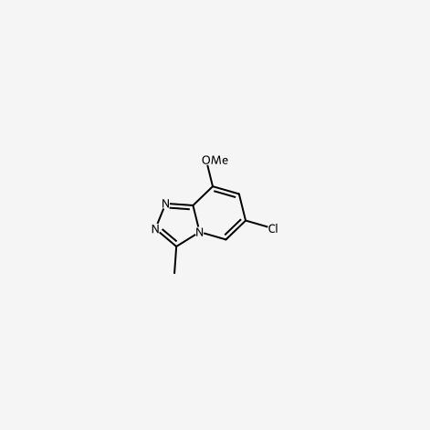 COc1cc(Cl)cn2c(C)nnc12